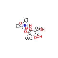 CC(=O)OC1C(O)C[C@H](O)[C@@]2(C)C(=O)[C@H](OC(C)=O)C3=C(C)[C@@H](OC(=O)CC(NC(=O)c4ccccc4)c4ccccc4)C[C@@](O)(CC12)C3(C)C